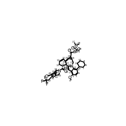 COc1ccc(C2CCCCC2)c2c1cc1n2CC2=C(C(=O)NS(=O)(=O)N(C)C)C2=C2C=CC[C@@H](C(=O)N3CC45CCC4(C3)C[N+]([O-])(CC(F)(F)F)C5)[C@@H]21